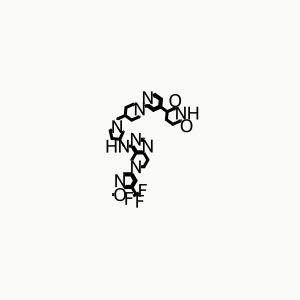 COc1ncc(N2CCc3ncnc(N[C@H]4CCN(CC5CCN(c6cc(C7CCC(=O)NC7=O)ccn6)CC5)C4)c3C2)cc1C(F)(F)F